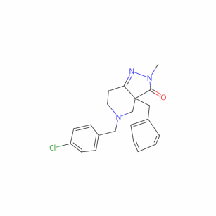 CN1N=C2CCN(Cc3ccc(Cl)cc3)CC2(Cc2ccccc2)C1=O